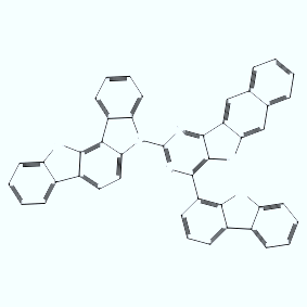 c1ccc2cc3c(cc2c1)oc1c(-c2cccc4c2oc2ccccc24)nc(-n2c4ccccc4c4c5oc6ccccc6c5ccc42)nc13